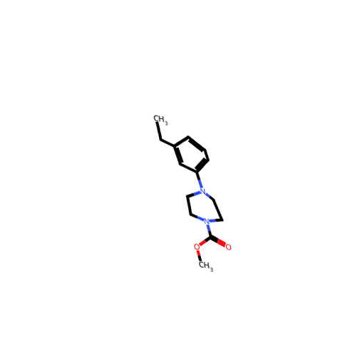 CCc1cccc(N2CCN(C(=O)OC)CC2)c1